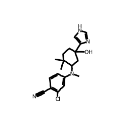 CN(c1ccc(C#N)c(Cl)c1)C1CC(O)(c2c[nH]cn2)CCC1(C)C